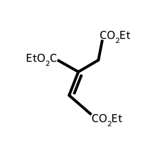 CCOC(=O)C=C(CC(=O)OCC)C(=O)OCC